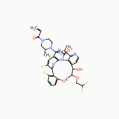 C=CC(=O)N1CCN(c2nc(=O)n3c4nc(c(F)cc24)-c2c(F)cccc2OCC(OCC(F)F)C(O)c2ccnc(C(C)C)c2-3)[C@@H](C)C1